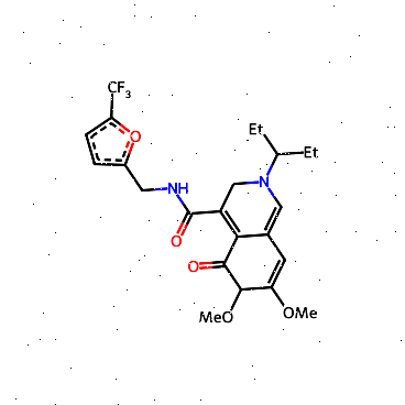 CCC(CC)N1C=C2C=C(OC)C(OC)C(=O)C2=C(C(=O)NCc2ccc(C(F)(F)F)o2)C1